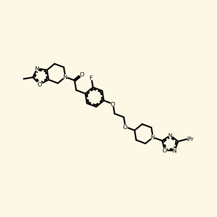 Cc1nc2c(o1)CN(C(=O)Cc1ccc(OCCOC3CCN(c4nc(C(C)C)no4)CC3)cc1F)CC2